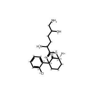 NCC(O)CCC(N)C1=NC2(c3ccccc3Cl)CCC[C@H](O1)C2=O